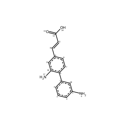 Nc1cccc(-c2ccc(C=CC(=O)O)cc2N)c1